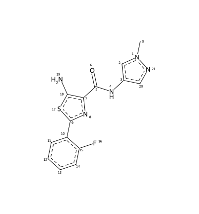 Cn1cc(NC(=O)c2nc(-c3ccccc3F)sc2N)cn1